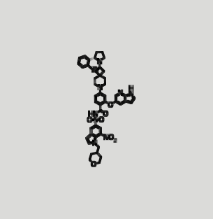 CC(C)c1ccccc1[C@@H]1CCCN1C1CC2(CCN(c3ccc(C(=O)NS(=O)(=O)c4cc([N+](=O)[O-])c5c(ccn5CC5CCOCC5)c4)c(Oc4cnc5[nH]ccc5c4)c3)CC2)C1